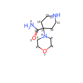 NC(=O)C1(N2CCOCC2)CCNCC1